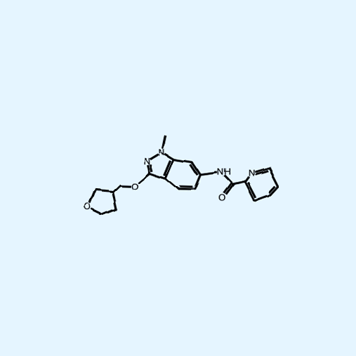 Cn1nc(OCC2CCOC2)c2ccc(NC(=O)c3ccccn3)cc21